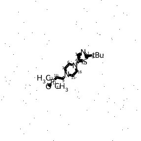 CC(C)(C)c1ncc(N2CCN(CCP(C)(C)=O)CC2)s1